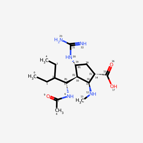 CCC(CC)[C@@H](NC(C)=O)[C@@H]1[C@H](NC)[C@@H](C(=O)O)C[C@H]1NC(=N)N